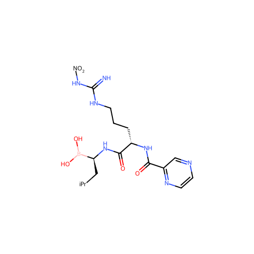 CC(C)C[C@H](NC(=O)[C@H](CCCNC(=N)N[N+](=O)[O-])NC(=O)c1cnccn1)B(O)O